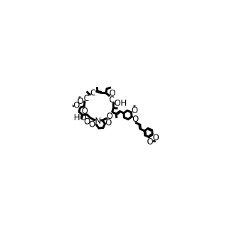 CCC1/C=C(\C)CC(C)CC(OC)C2OC(O)(C(=O)C(=O)N3CCCCC3C(=O)OC(C(C)=CC3CCC(OCC=Cc4ccc5c(c4)OCO5)C(OC)C3)C(C)C(O)CC1=O)C(C)CC2OC